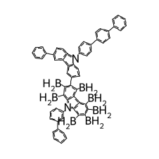 Bc1c(B)c(B)c2c(c1B)c1c(B)c(-c3ccc4c(c3)c3cc(-c5ccccc5)ccc3n4-c3ccc(-c4ccc(-c5ccccc5)cc4)cc3)c(B)c(B)c1n2-c1cccc(-c2ccccc2)c1